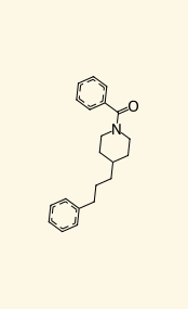 O=C(c1ccccc1)N1CCC(CCCc2ccccc2)CC1